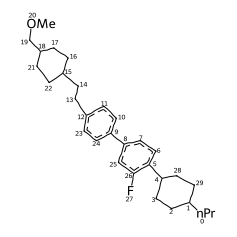 CCCC1CCC(c2ccc(-c3ccc(CCC4CCC(COC)CC4)cc3)cc2F)CC1